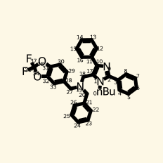 CCCCn1c(-c2ccccc2)nc(-c2ccccc2)c1CN(Cc1ccccc1)Cc1ccc2c(c1)OC(F)(F)O2